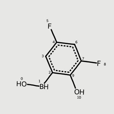 OBc1cc(F)cc(F)c1O